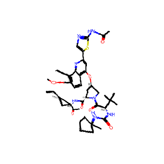 C=C[C@@H]1C[C@]1(NC(=O)[C@@H]1C[C@@H](Oc2cc(-c3cnc(NC(C)=O)s3)nc3c(C)c(OC)ccc23)CN1C(=O)[C@@H](NC(=O)NC1(C)CCCC1)C(C)(C)C)C(C)=O